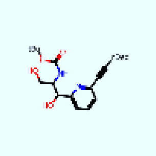 CCCCCCCCCCC#Cc1cccc(C(O)C(CO)NC(=O)OC(C)(C)C)n1